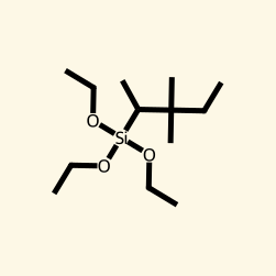 CCO[Si](OCC)(OCC)C(C)C(C)(C)CC